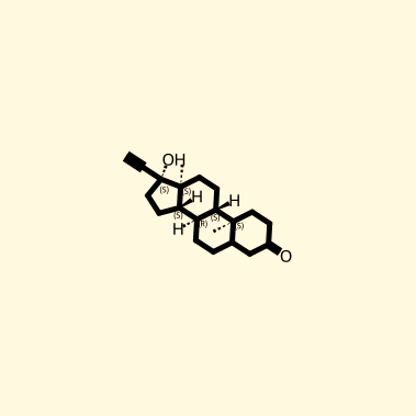 C#C[C@]1(O)CC[C@H]2[C@@H]3CCC4CC(=O)CC[C@]4(C)[C@H]3CC[C@@]21C